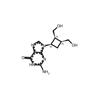 Nc1nc2c(ncn2[C@@H]2C[C@H](CO)[C@@H]2CO)c(=O)[nH]1